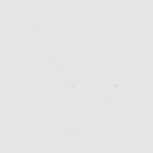 CC1(C)c2cc(-c3ccc4c(c3)c3ccccc3n4-c3ccccc3)ccc2-c2ccc(N(c3ccc(-c4ccc5c6ccccc6n(-c6ccccc6)c5c4)c4ccccc34)c3ccc(-c4ccc5c6ccccc6n(-c6ccccc6)c5c4)c4ccccc34)cc21